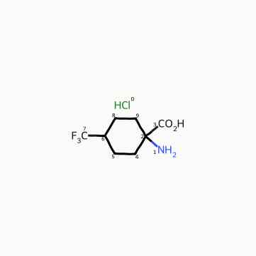 Cl.NC1(C(=O)O)CCC(C(F)(F)F)CC1